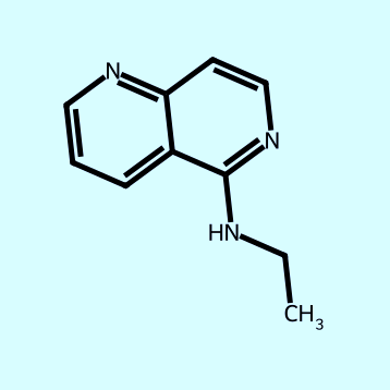 CCNc1nccc2ncccc12